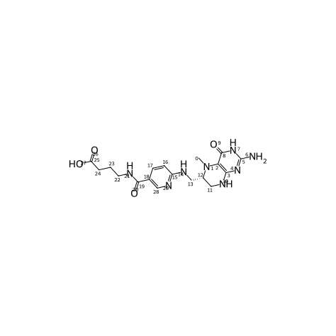 CN1c2c(nc(N)[nH]c2=O)NC[C@@H]1CNc1ccc(C(=O)NCCCC(=O)O)cn1